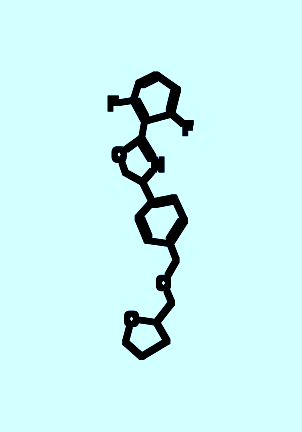 Fc1cccc(F)c1C1=NC(c2ccc(COCC3CCCO3)cc2)CO1